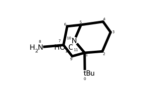 CC(C)(C)C12CCCC(CC(N)C1)N2C(=O)O